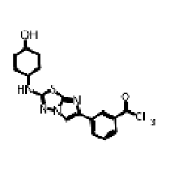 CC(=O)c1cccc(-c2cn3nc(NC4CCC(O)CC4)sc3n2)c1